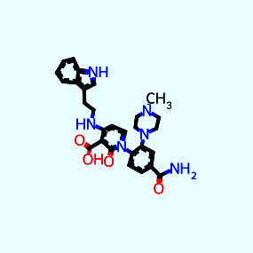 CN1CCN(c2cc(C(N)=O)ccc2-n2ccc(NCCc3c[nH]c4ccccc34)c(C(=O)O)c2=O)CC1